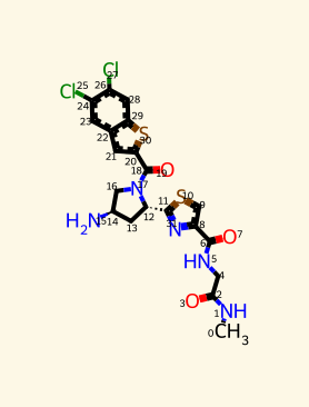 CNC(=O)CNC(=O)c1csc([C@@H]2C[C@@H](N)CN2C(=O)c2cc3cc(Cl)c(Cl)cc3s2)n1